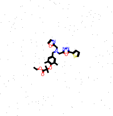 CCOC(=O)C(C)(C)Oc1c(C)cc(CN(Cc2ncco2)Cc2nnc(-c3cccs3)o2)cc1C